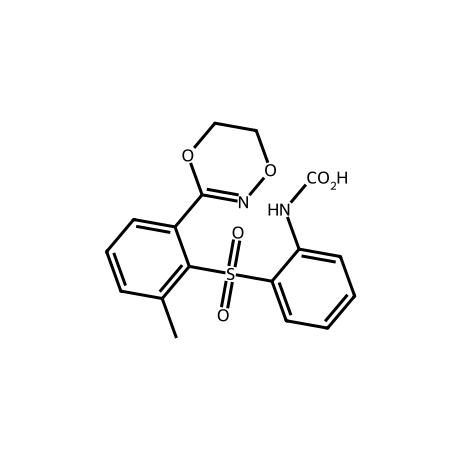 Cc1cccc(C2=NOCCO2)c1S(=O)(=O)c1ccccc1NC(=O)O